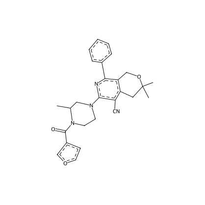 CC1CN(c2nc(-c3ccccc3)c3c(c2C#N)CC(C)(C)OC3)CCN1C(=O)c1ccoc1